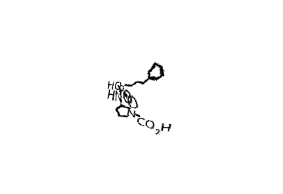 O=C(O)CN1CCC[C@H](NP(=O)(O)CCCCc2ccccc2)C1=O